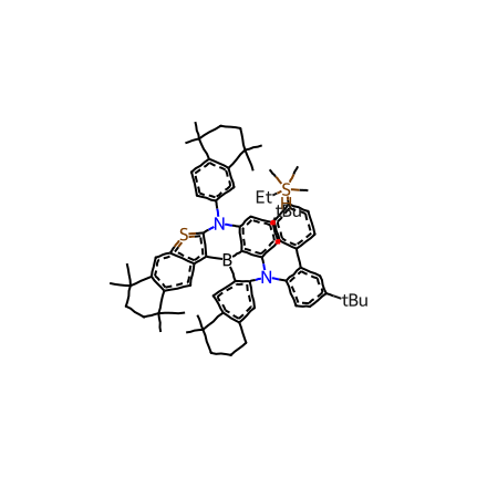 CC[SH](C)(C)(C)c1ccc(-c2cc(C(C)(C)C)ccc2N2c3cc4c(cc3B3c5c2cc(C(C)(C)C)cc5N(c2ccc5c(c2)C(C)(C)CCC5(C)C)c2sc5cc6c(cc5c23)C(C)(C)CCC6(C)C)C(C)(C)CCC4)cc1